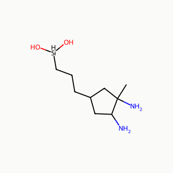 CC1(N)CC(CCC[SiH](O)O)CC1N